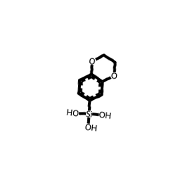 O[Si](O)(O)c1ccc2c(c1)OCCO2